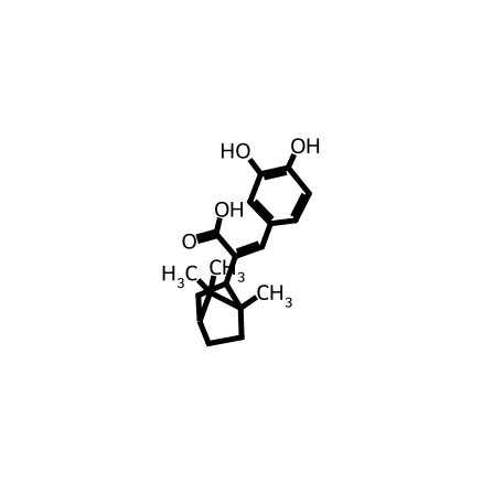 CC1(C)C2CCC1(C)C(C(=Cc1ccc(O)c(O)c1)C(=O)O)C2